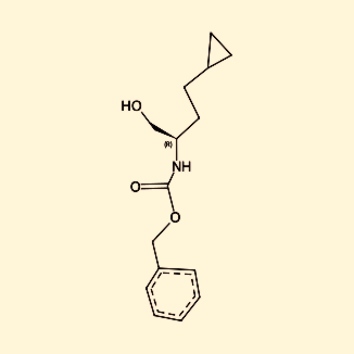 O=C(N[C@@H](CO)CCC1CC1)OCc1ccccc1